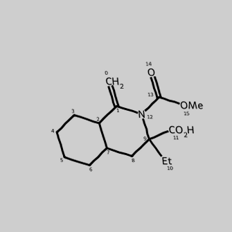 C=C1C2CCCCC2CC(CC)(C(=O)O)N1C(=O)OC